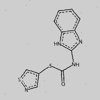 O=C(Nc1nc2ccccc2[nH]1)Sc1cnsc1